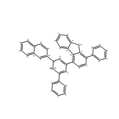 c1ccc(C2=NC(c3ccc(-c4ccccc4)c4oc5ccccc5c34)=NC(c3ccc4ccccc4c3)N2)cc1